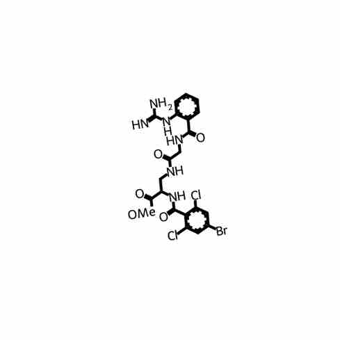 COC(=O)C(CNC(=O)CNC(=O)c1ccccc1NC(=N)N)NC(=O)c1c(Cl)cc(Br)cc1Cl